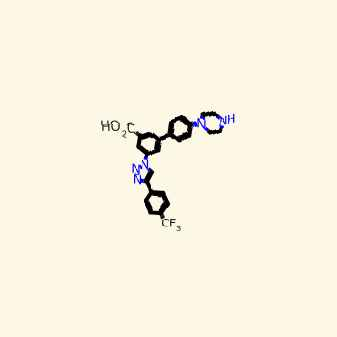 O=C(O)c1cc(-c2ccc(N3CCNCC3)cc2)cc(-n2cc(-c3ccc(C(F)(F)F)cc3)nn2)c1